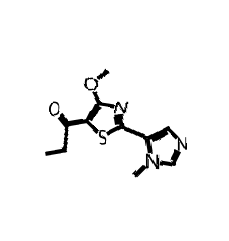 CCC(=O)c1sc(-c2cncn2C)nc1OC